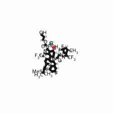 CSC(C)(C)C#Cc1ccc(-c2ccc(Cl)c3c(N(C(=O)OCCCO)[S+](C)[O-])nn(CC(F)(F)F)c23)c(C(Cc2cc(F)cc(F)c2)NC(=O)Cn2nc(C(F)(F)F)c3c2C(F)(F)C[C@@H]3C)n1